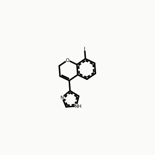 Ic1cccc2c1OCC=C2c1c[nH]cn1